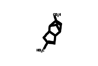 O=C(O)C1=CC2C3C=C(C(=O)O)C(C3)C2C1